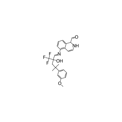 COc1cccc(C(C)(C)CC(O)(C=Nc2cccc3c2C=CNC3C=O)C(F)(F)F)c1